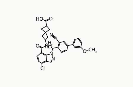 COc1cccc(-c2ccc([C@H](C)n3ncc4c(Cl)ccc(C(=O)NC5CC6(C5)CC(C(=O)O)C6)c43)c(C#N)c2)c1